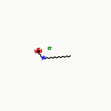 CCCCCCCCCCCCCC[N+](C)(C)CCC[Si](OC)(OC)OC.[Cl-]